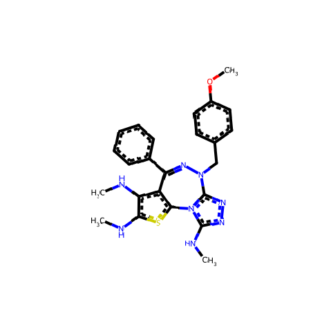 CNc1sc2c(c1NC)C(c1ccccc1)=NN(Cc1ccc(OC)cc1)c1nnc(NC)n1-2